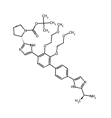 COCCOc1c(-c2ccc(-c3cnc([C@H](C)N)[nH]3)cc2)ccc(-c2cnc([C@@H]3CCCN3C(=O)OC(C)(C)C)[nH]2)c1OCCOC